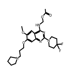 COc1cc2c(NCOC(C)=O)nc(N3CCC(F)(F)CC3)nc2cc1OCCCN1CCCC1